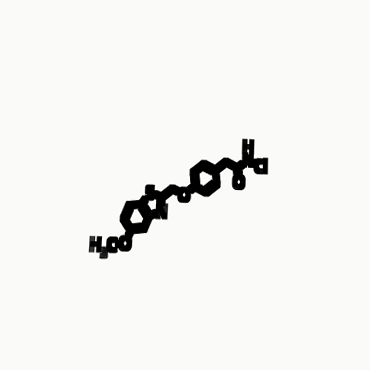 COc1ccc2sc(COc3ccc(CC(=O)NCl)cc3)nc2c1